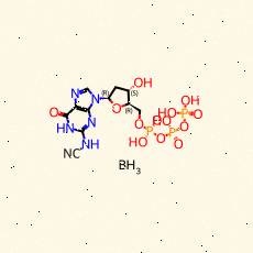 B.N#CNc1nc2c(ncn2[C@H]2C[C@H](O)[C@@H](COP(=O)(O)OP(=O)(O)OP(=O)(O)O)O2)c(=O)[nH]1